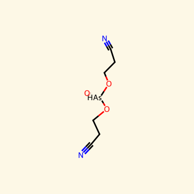 N#CCCO[AsH](=O)OCCC#N